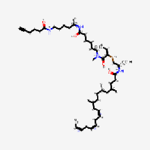 C#CCCCC(=O)NCCCC[C@@H](C)NC(=O)CCCCCN(C)C(=O)C(CC=O)SC[C@@H](NC(=O)CCC(C)C[C@H](C)CCC(C)C/C=C\C/C=C\C/C=C\CC)C(=O)O